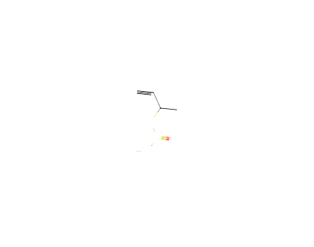 C=CC(C)SS(=O)O